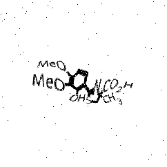 COc1ccc(C2=NC(C)(C(=O)O)CS2)c(O)c1OC